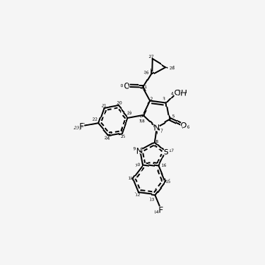 O=C(C1=C(O)C(=O)N(c2nc3ccc(F)cc3s2)C1c1ccc(F)cc1)C1CC1